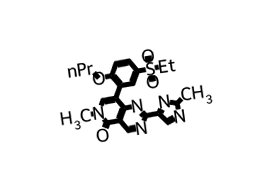 CCCOc1ccc(S(=O)(=O)CC)cc1-c1cn(C)c(=O)c2cnc(C3=NC(C)N=C3)nc12